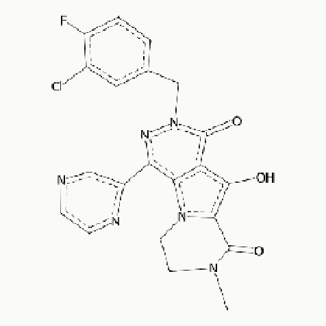 CN1CCn2c(c(O)c3c(=O)n(Cc4ccc(F)c(Cl)c4)nc(-c4cnccn4)c32)C1=O